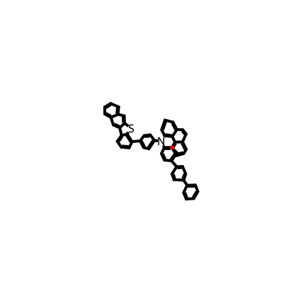 c1ccc(-c2ccc(-c3ccc(N(c4ccc(-c5cccc6c5sc5cc7ccccc7cc56)cc4)c4cccc5ccc6ccccc6c45)cc3)cc2)cc1